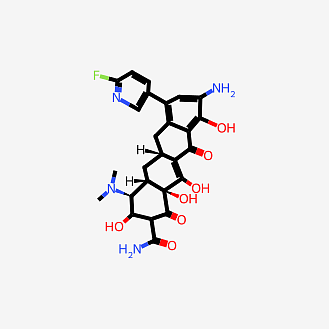 CN(C)[C@@H]1C(O)C(C(N)=O)C(=O)[C@@]2(O)C(O)=C3C(=O)c4c(O)c(N)cc(-c5ccc(F)nc5)c4C[C@H]3C[C@@H]12